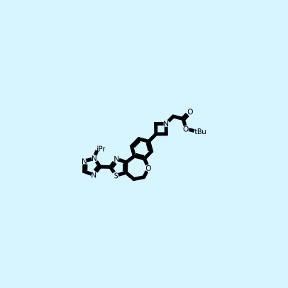 CC(C)n1ncnc1-c1nc2c(s1)CCOc1cc(C3CN(CC(=O)OC(C)(C)C)C3)ccc1-2